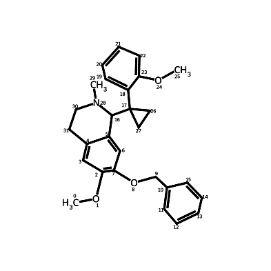 COc1cc2c(cc1OCc1ccccc1)C(C1(c3ccccc3OC)CC1)N(C)CC2